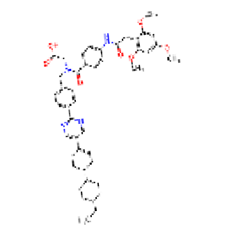 CC[C@H]1CC[C@H](C2CC=C(c3cnc(-c4ccc(CN(CC(=O)O)C(=O)c5ccc(NC(=O)Cc6c(OC)cc(OC)cc6OC)cc5)cc4)nc3)CC2)CC1